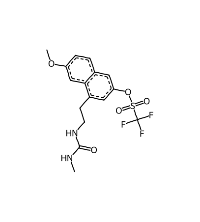 CNC(=O)NCCc1cc(OS(=O)(=O)C(F)(F)F)cc2ccc(OC)cc12